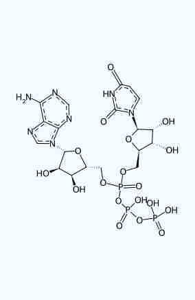 Nc1ncnc2c1ncn2[C@@H]1O[C@H](COP(=O)(OC[C@H]2O[C@@H](n3ccc(=O)[nH]c3=O)[C@H](O)[C@@H]2O)OP(=O)(O)OP(=O)(O)O)[C@@H](O)[C@H]1O